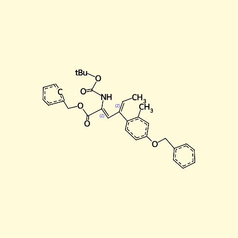 C/C=C(/C=C(\NC(=O)OC(C)(C)C)C(=O)OCc1ccccc1)c1ccc(OCc2ccccc2)cc1C